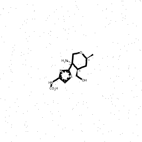 C[C@H]1C[C@@H](CO)[C@@](N)(c2nc(NC(=O)O)cs2)CO1